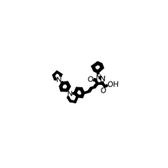 O=C(O)C1=NN(c2ccccc2)C(=O)/C1=C\C=C\c1ccc2c(c1)CCCN2c1ccc(N2CCCC2)cc1